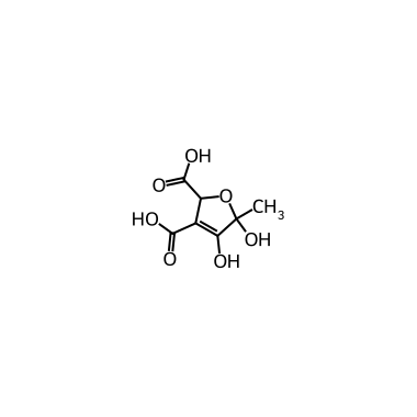 CC1(O)OC(C(=O)O)C(C(=O)O)=C1O